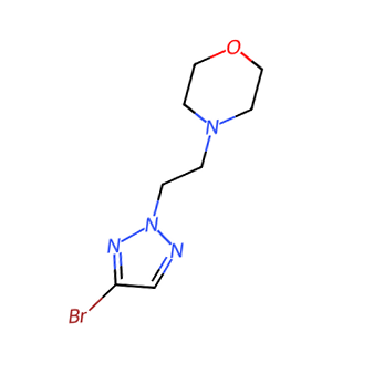 Brc1cnn(CCN2CCOCC2)n1